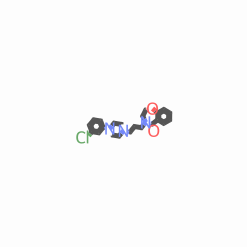 O=C1c2ccccc2OCCN1CCCN1CCN(c2cccc(Cl)c2)CC1